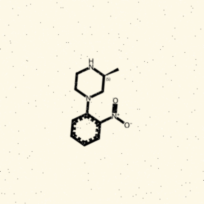 C[C@H]1CN(c2ccccc2[N+](=O)[O-])CCN1